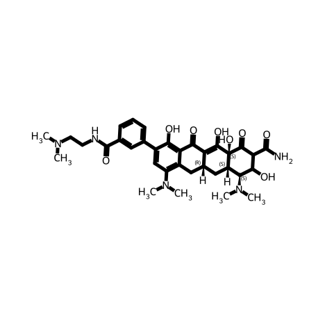 CN(C)CCNC(=O)c1cccc(-c2cc(N(C)C)c3c(c2O)C(=O)C2=C(O)[C@]4(O)C(=O)C(C(N)=O)C(O)[C@@H](N(C)C)[C@@H]4C[C@@H]2C3)c1